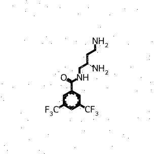 NCC[C@H](N)CNC(=O)c1cc(C(F)(F)F)cc(C(F)(F)F)c1